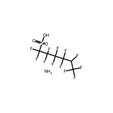 N.O=S(=O)(O)C(F)(F)C(F)(F)C(F)(F)C(F)(F)C(F)C(F)(F)F